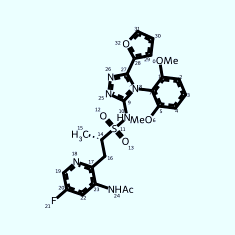 COc1cccc(OC)c1-n1c(NS(=O)(=O)[C@@H](C)Cc2ncc(F)cc2NC(C)=O)nnc1-c1ccco1